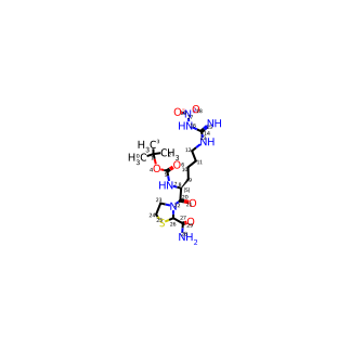 CC(C)(C)OC(=O)N[C@@H](CCCCNC(=N)N[N+](=O)[O-])C(=O)N1CCSC1C(N)=O